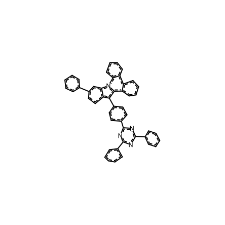 c1ccc(-c2ccc3c(-c4ccc(-c5nc(-c6ccccc6)nc(-c6ccccc6)n5)cc4)c4c5ccccc5c5ccccc5n4c3c2)cc1